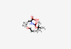 CCC(NC(=O)OC(C)(C)C)C(=O)O.CCCOC